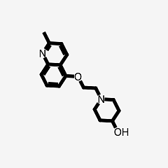 Cc1ccc2c(OCCN3CCC(O)CC3)cccc2n1